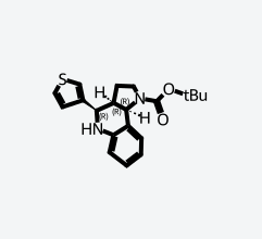 CC(C)(C)OC(=O)N1CC[C@@H]2[C@H](c3ccsc3)Nc3ccccc3[C@@H]21